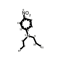 O=[N+]([O-])c1ccc(N(CCI)CCI)cc1